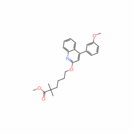 COC(=O)C(C)(C)CCCCOc1cc(-c2cccc(OC)c2)c2ccccc2n1